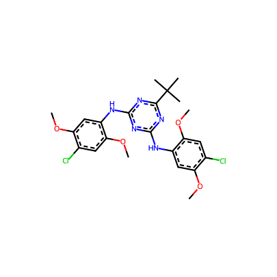 COc1cc(Nc2nc(Nc3cc(OC)c(Cl)cc3OC)nc(C(C)(C)C)n2)c(OC)cc1Cl